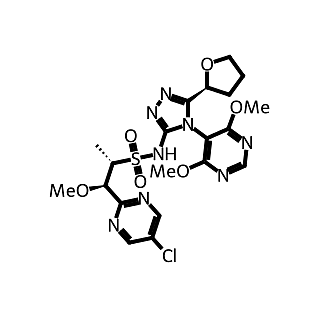 COc1ncnc(OC)c1-n1c(NS(=O)(=O)[C@@H](C)[C@H](OC)c2ncc(Cl)cn2)nnc1[C@@H]1CCCO1